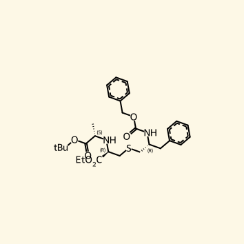 CCOC(=O)[C@H](CSC[C@@H](Cc1ccccc1)NC(=O)OCc1ccccc1)N[C@@H](C)C(=O)OC(C)(C)C